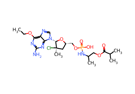 CCOc1nc(N)nc2c1ncn2[C@@H]1O[C@H](COP(=O)(O)NC(C)COC(=O)C(C)C)C[C@@]1(C)Cl